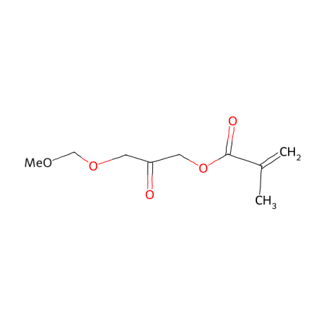 C=C(C)C(=O)OCC(=O)COCOC